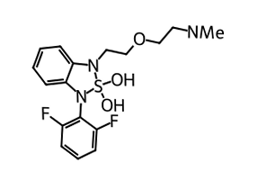 CNCCOCCN1c2ccccc2N(c2c(F)cccc2F)S1(O)O